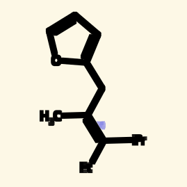 CC/C(=C(\C)Cc1ccco1)C(C)C